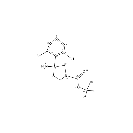 Cc1cccc(Cl)c1[C@@]1(N)CCN(C(=O)OC(C)(C)C)C1